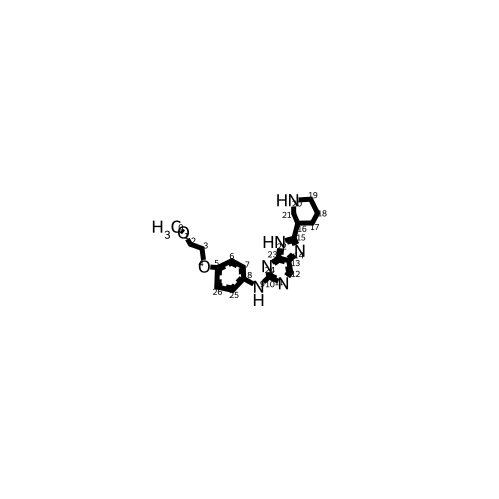 COCCOc1ccc(Nc2ncc3nc(C4CCCNC4)[nH]c3n2)cc1